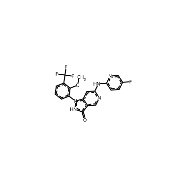 COc1c(-n2[nH]c(=O)c3cnc(Nc4ccc(F)cn4)cc32)cccc1C(F)(F)F